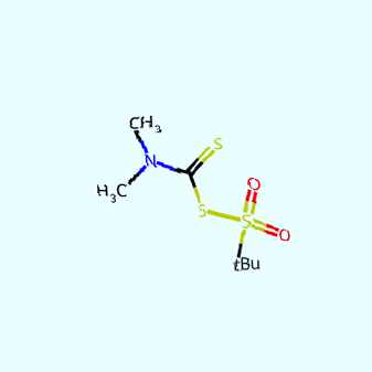 CN(C)C(=S)SS(=O)(=O)C(C)(C)C